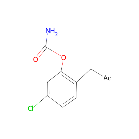 CC(=O)Cc1ccc(Cl)cc1OC(N)=O